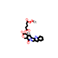 CCOOC(=O)CCCC(=O)O[C@]1(CC)C(=O)OCc2c1cc1n(c2=O)Cc2cc3ccccc3nc2-1